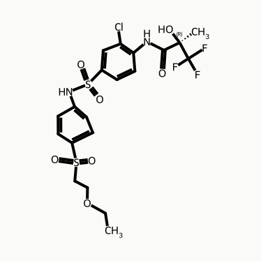 CCOCCS(=O)(=O)c1ccc(NS(=O)(=O)c2ccc(NC(=O)[C@@](C)(O)C(F)(F)F)c(Cl)c2)cc1